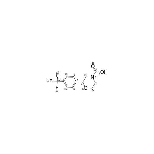 O=C(O)N1CCOC(c2ccc(C(F)(F)F)cc2)C1